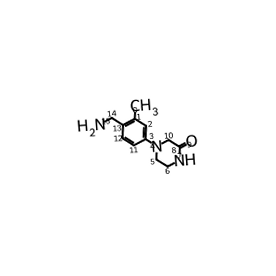 Cc1cc(N2CCNC(=O)C2)ccc1CN